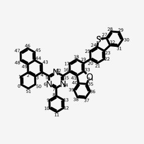 C1=Cc2c(c(-c3nc(-c4ccccc4)nc(-c4ccc(-c5ccc6c(c5)sc5ccccc56)c5oc6ccccc6c45)n3)cc3ccccc23)CC1